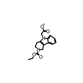 CCOC(=O)N1CCc2c(c3ccccc3n2CC(=O)OC)C1